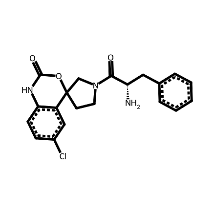 N[C@@H](Cc1ccccc1)C(=O)N1CCC2(C1)OC(=O)Nc1ccc(Cl)cc12